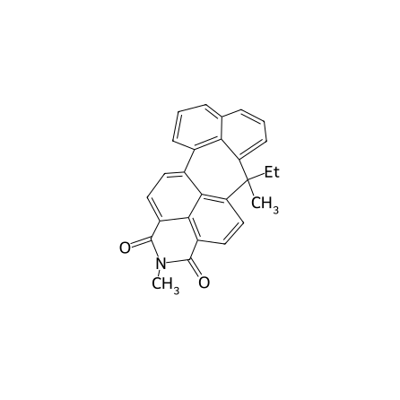 CCC1(C)c2cccc3cccc(c23)-c2ccc3c4c(ccc1c24)C(=O)N(C)C3=O